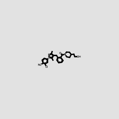 Cc1nn(-c2ccc(C#N)c(Cl)c2)c(C)c1Cc1ccccc1C(=O)N1CCC(CCO)CC1